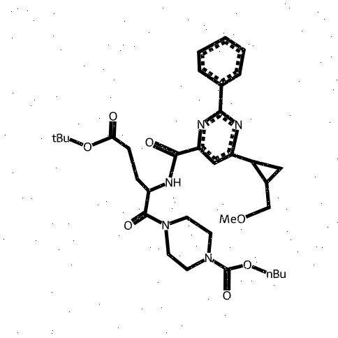 CCCCOC(=O)N1CCN(C(=O)C(CCC(=O)OC(C)(C)C)NC(=O)c2cc(C3CC3COC)nc(-c3ccccc3)n2)CC1